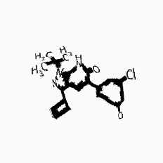 CC(C)(C)n1nc(C2=CC=C2)c2cc(-c3cc(Cl)cc(Cl)c3)c(=O)[nH]c21